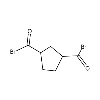 O=C(Br)C1CCC(C(=O)Br)C1